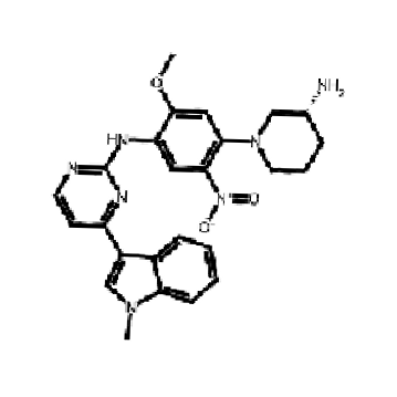 COc1cc(N2CCC[C@@H](N)C2)c([N+](=O)[O-])cc1Nc1nccc(-c2cn(C)c3ccccc23)n1